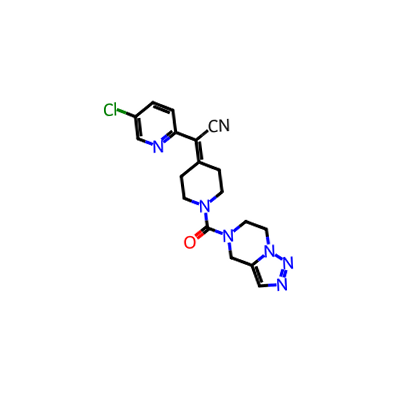 N#CC(=C1CCN(C(=O)N2CCn3nncc3C2)CC1)c1ccc(Cl)cn1